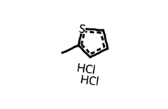 Cc1cccs1.Cl.Cl